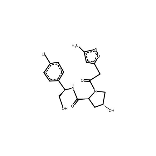 Cc1cc(CC(=O)N2C[C@H](O)C[C@H]2C(=O)N[C@@H](CO)c2ccc(Cl)cc2)on1